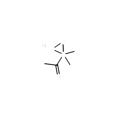 CC(=O)P1(C)([O-])OO1.[Na+]